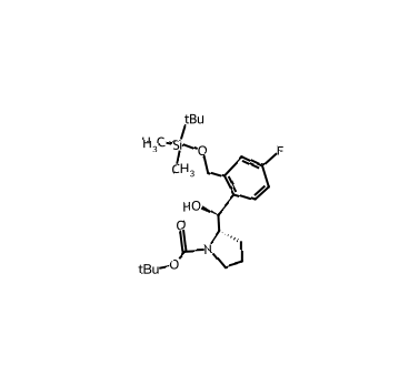 CC(C)(C)OC(=O)N1CCC[C@H]1[C@@H](O)c1ccc(F)cc1CO[Si](C)(C)C(C)(C)C